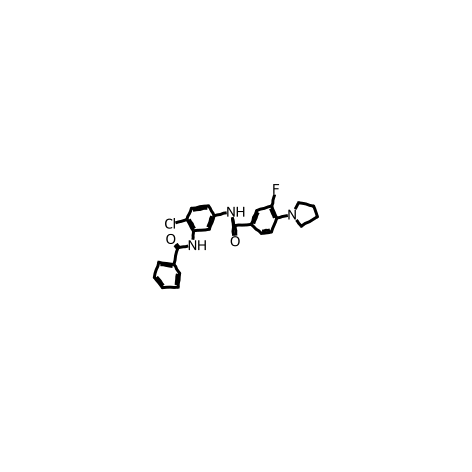 O=C(Nc1ccc(Cl)c(NC(=O)c2ccccc2)c1)c1ccc(N2CCCC2)c(F)c1